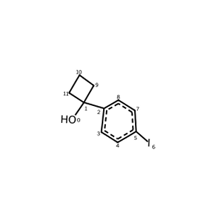 OC1(c2ccc(I)cc2)CCC1